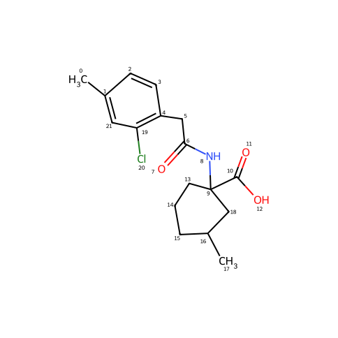 Cc1ccc(CC(=O)NC2(C(=O)O)CCCC(C)C2)c(Cl)c1